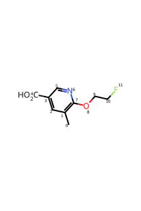 Cc1cc(C(=O)O)cnc1OCCF